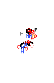 CC(C)OC(=O)[C@H](C)N[P@@](=O)(OC[C@]12CO[C@](C)([C@@H]1O)[C@H](n1ccc(=O)[nH]c1=O)O2)Oc1ccccc1